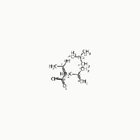 C=C(C)C(=O)O.CCC(C)=CC(=O)Cl.CN(C)C